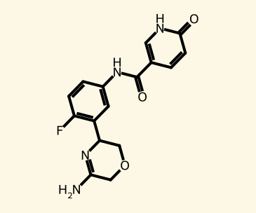 NC1=NC(c2cc(NC(=O)c3ccc(=O)[nH]c3)ccc2F)COC1